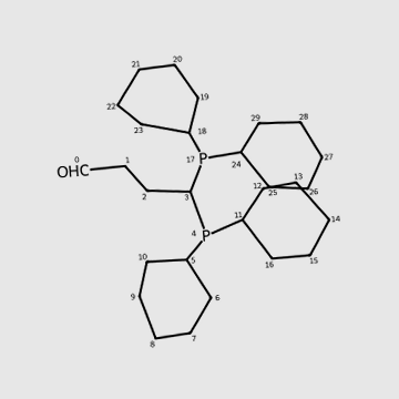 O=CCCC(P(C1CCCCC1)C1CCCCC1)P(C1CCCCC1)C1CCCCC1